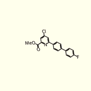 COC(=O)c1cc(Cl)cc(-c2ccc(-c3ccc(F)cc3)cc2)n1